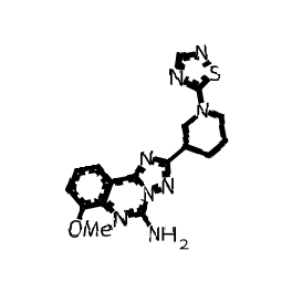 COc1cccc2c1nc(N)n1nc(C3CCCN(c4ncns4)C3)nc21